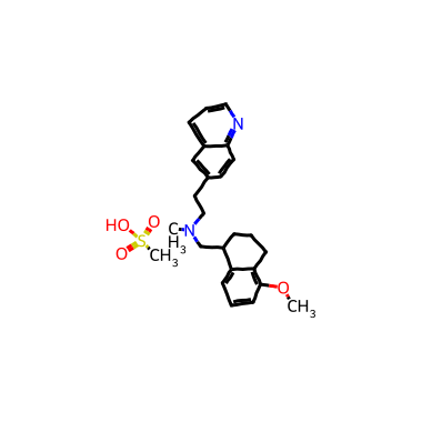 COc1cccc2c1CCCC2CN(C)CCc1ccc2ncccc2c1.CS(=O)(=O)O